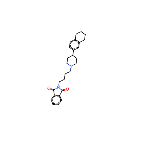 O=C1c2ccccc2C(=O)N1CCCCN1CCC(c2ccc3c(c2)CCCC3)CC1